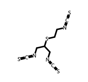 S=C=NCCSC(CN=C=S)CN=C=S